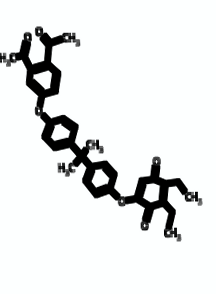 CCC1=C(CC)C(=O)C(Oc2ccc(C(C)(C)c3ccc(Oc4ccc(C(C)=O)c(C(C)=O)c4)cc3)cc2)=CC1=O